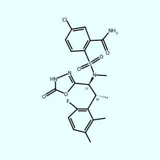 Cc1ccc(F)c([C@@H](C)[C@@H](c2n[nH]c(=O)o2)N(C)S(=O)(=O)c2ccc(Cl)cc2C(N)=O)c1C